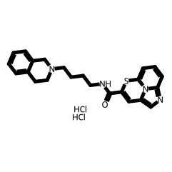 Cl.Cl.O=C(NCCCCN1CCc2ccccc2C1)C1=Cc2cnc3cccc(n23)S1